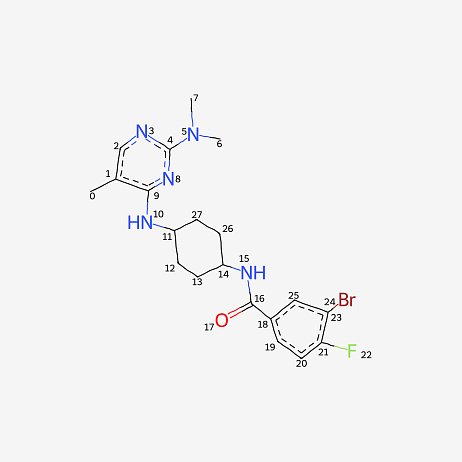 Cc1cnc(N(C)C)nc1NC1CCC(NC(=O)c2ccc(F)c(Br)c2)CC1